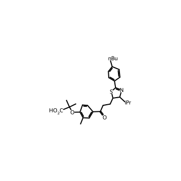 CCCCc1ccc(C2=NC(C(C)C)C(CCC(=O)c3ccc(OC(C)(C)C(=O)O)c(C)c3)S2)cc1